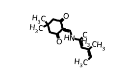 C/C=C(C)\C=C(/C)NC=C1C(=O)CC(C)(C)CC1=O